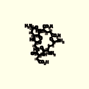 NC(=O)CC[C@H](N)C(=O)N[C@@H](CC(=O)O)C(=O)NCC(=O)N[C@@H](CC(N)=O)C(=O)N[C@@H](CCC(=O)O)C(=O)O